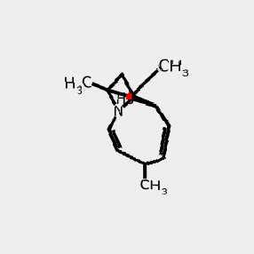 CC1/C=C\C2C3CC(C)(C[SH]2C)N3/C=C\1